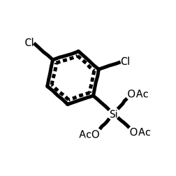 CC(=O)O[Si](OC(C)=O)(OC(C)=O)c1ccc(Cl)cc1Cl